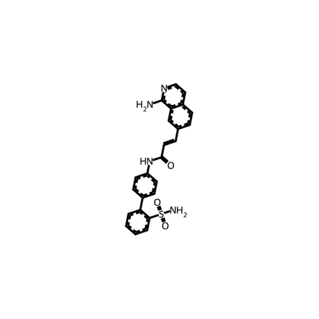 Nc1nccc2ccc(C=CC(=O)Nc3ccc(-c4ccccc4S(N)(=O)=O)cc3)cc12